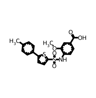 COc1cc(C(=O)O)ccc1NS(=O)(=O)c1ccc(-c2ccc(C)cc2)s1